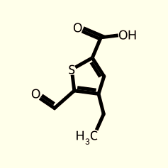 CCc1cc(C(=O)O)sc1C=O